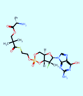 CC(C)[C@H](N)C(=O)OCC(C)(C)C(=O)SCCOP1(=O)OC[C@H]2O[C@@H](n3cnc4c(O)nc(N)nc43)[C@](C)(F)[C@@H]2O1